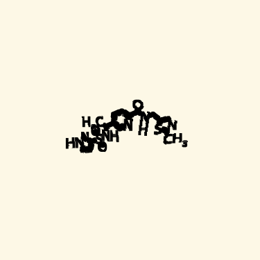 Cc1ncc(CNC(=O)c2ccc(C(C)NS(=O)(=O)c3cc[nH]n3)cn2)s1